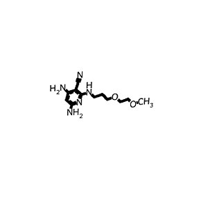 COCCOCCCNc1nc(N)cc(N)c1C#N